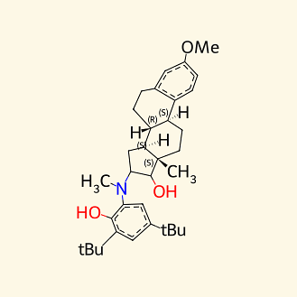 COc1ccc2c(c1)CC[C@@H]1[C@@H]2CC[C@]2(C)C(O)C(N(C)c3cc(C(C)(C)C)cc(C(C)(C)C)c3O)C[C@@H]12